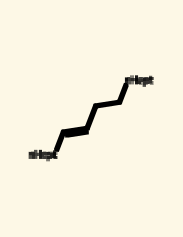 [CH2]CCCCCC/C=C/CCCCCCCC[CH2]